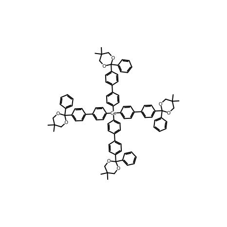 CC1(C)COC(c2ccccc2)(c2ccc(-c3cc[c]([Ge]([c]4ccc(-c5ccc(C6(c7ccccc7)OCC(C)(C)CO6)cc5)cc4)([c]4ccc(-c5ccc(C6(c7ccccc7)OCC(C)(C)CO6)cc5)cc4)[c]4ccc(-c5ccc(C6(c7ccccc7)OCC(C)(C)CO6)cc5)cc4)cc3)cc2)OC1